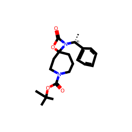 C[C@H](c1ccccc1)N1C(=O)OC12CCCN(C(=O)OC(C)(C)C)CC2